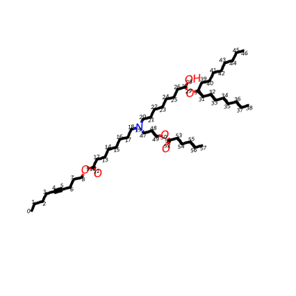 CCCCC#CCCCOC(=O)CCCCCCCN(CCCCCCCC(O)OC(CCCCCCCC)CCCCCCCC)CCCOC(=O)CCCCC